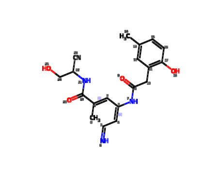 C/C(=C\C(=C/C=N)NC(=O)Cc1cc(C)ccc1O)C(=O)NC(C#N)CO